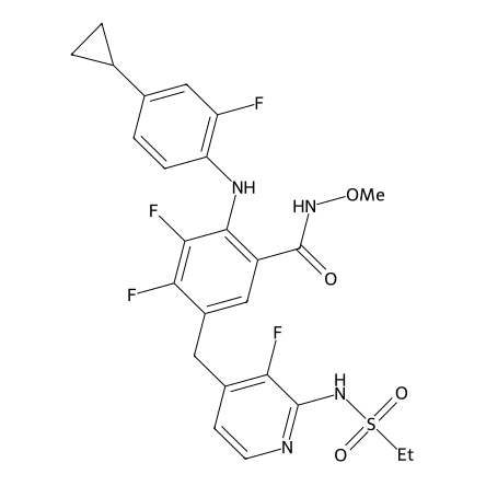 CCS(=O)(=O)Nc1nccc(Cc2cc(C(=O)NOC)c(Nc3ccc(C4CC4)cc3F)c(F)c2F)c1F